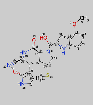 COc1cccc2[nH]c(C(O)N3C[C@H](SC)C[C@H]3C(=O)N[C@H](C#N)C[C@@H]3CCNC3=O)cc12